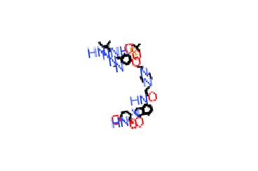 Cc1[nH]nc(Nc2ncnc3cc(OCCN4CCN(CCC(=O)Nc5cccc6c5CN(C5CCC(=O)NC5=O)C6=O)CC4)c(S(=O)(=O)C(C)(C)C)cc23)c1C